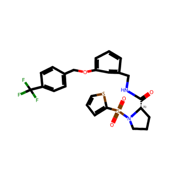 O=C(NCc1cccc(OCc2ccc(C(F)(F)F)cc2)c1)[C@@H]1CCCN1S(=O)(=O)c1cccs1